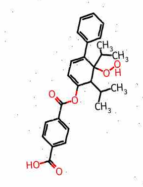 CC(C)C1C(OC(=O)c2ccc(C(=O)O)cc2)=CC=C(c2ccccc2)C1(OO)C(C)C